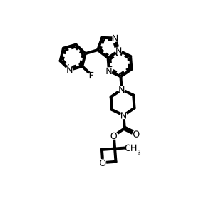 CC1(OC(=O)N2CCN(c3ccn4ncc(-c5cccnc5F)c4n3)CC2)COC1